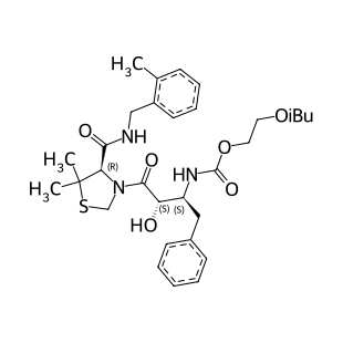 Cc1ccccc1CNC(=O)[C@H]1N(C(=O)[C@@H](O)[C@H](Cc2ccccc2)NC(=O)OCCOCC(C)C)CSC1(C)C